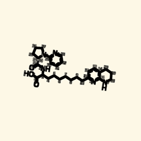 O=C(O)C(CCCCCCCc1ccc2c(n1)NCCC2)NC(=O)[C@@H]1CCCN1c1ccccn1